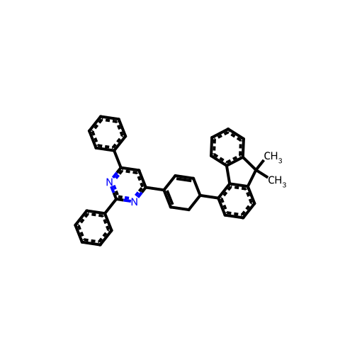 CC1(C)c2ccccc2-c2c(C3C=CC(c4cc(-c5ccccc5)nc(-c5ccccc5)n4)=CC3)cccc21